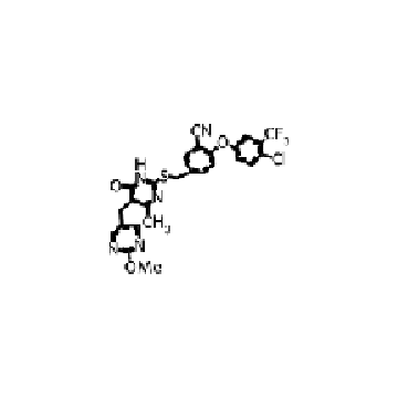 COc1ncc(Cc2c(C)nc(SCc3ccc(Oc4ccc(Cl)c(C(F)(F)F)c4)c(C#N)c3)[nH]c2=O)cn1